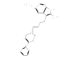 COc1ccc2[nH]c(C)c(CCCCN3CC=C(c4ccccc4)CC3)c2c1